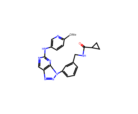 COc1ccc(Nc2ncc3nnn(-c4cccc(CNC(=O)C5CC5)c4)c3n2)cn1